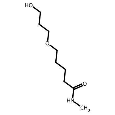 CNC(=O)CCCCOCCCO